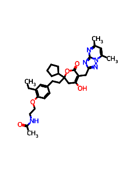 CCc1cc(CCC2(C3CCCC3)CC(O)=C(Cc3nc4nc(C)cc(C)n4n3)C(=O)O2)ccc1OCCNC(C)=O